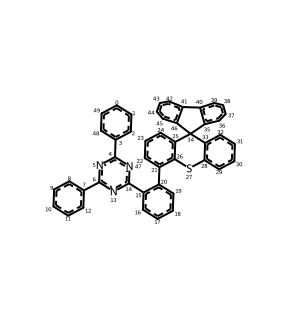 c1ccc(-c2nc(-c3ccccc3)nc(-c3ccccc3-c3cccc4c3Sc3ccccc3C43c4ccccc4-c4ccccc43)n2)cc1